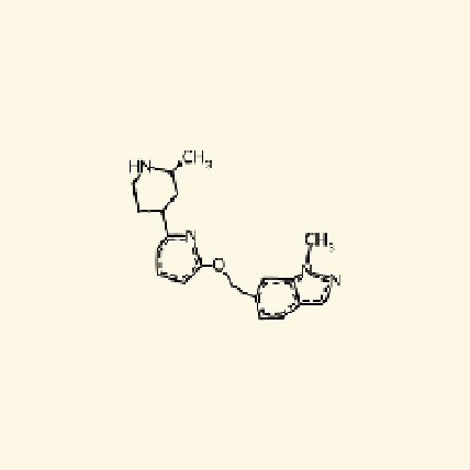 C[C@H]1CC(c2cccc(OCc3ccc4cnn(C)c4c3)n2)CCN1